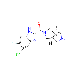 CN1C[C@@H]2CN(C(=O)c3nc4cc(Cl)c(F)cc4[nH]3)C[C@@H]2C1